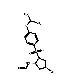 CC(C)Oc1ccc(S(=O)(=O)N2C[C@@H](C)C[C@@H]2NC=O)cc1